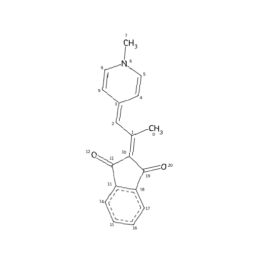 CC(C=C1C=CN(C)C=C1)=C1C(=O)c2ccccc2C1=O